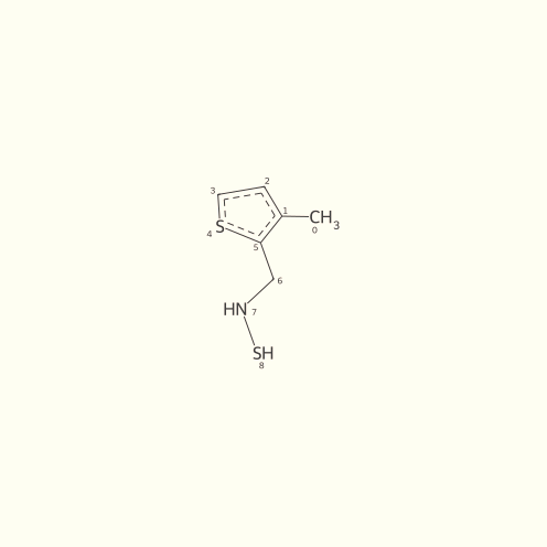 Cc1ccsc1CNS